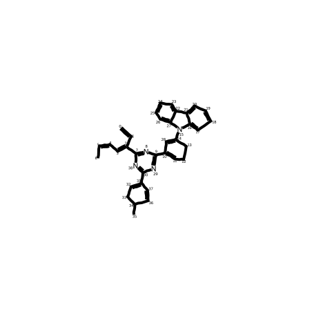 C=C/C(=C\C=C/C)c1nc(C2=CCCC(n3c4ccccc4c4ccccc43)=C2)nc(C2=CCC(C)C=C2)n1